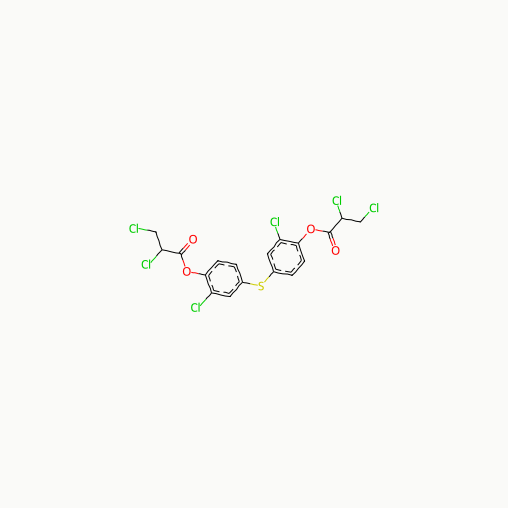 O=C(Oc1ccc(Sc2ccc(OC(=O)C(Cl)CCl)c(Cl)c2)cc1Cl)C(Cl)CCl